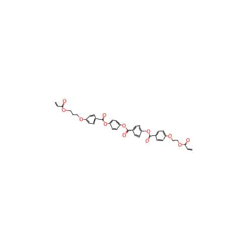 C=CC(=O)OCCCOc1ccc(C(=O)Oc2ccc(OC(=O)c3ccc(OC(=O)c4ccc(OCCOC(=O)C=C)cc4)cc3)cc2)cc1